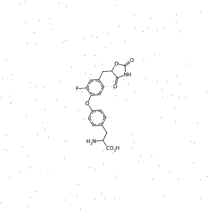 NC(Cc1ccc(Oc2ccc(CC3OC(=O)NC3=O)cc2F)cc1)C(=O)O